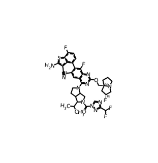 CC(C)C1C2CCN(c3nc(OC[C@@]45CCCN4C[C@H](F)C5)nc4c(F)c(-c5ccc(F)c6sc(N)c(C#N)c56)c(Cl)cc34)C2CN1C(=O)n1cnc(C(F)F)n1